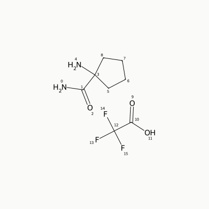 NC(=O)C1(N)CCCC1.O=C(O)C(F)(F)F